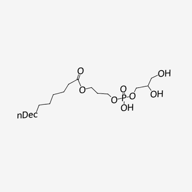 CCCCCCCCCCCCCCCC(=O)OCCCOP(=O)(O)OCC(O)CO